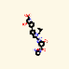 COc1cc(C(=O)N2CC3CCC2[C@@H]3N)cc2nc(-c3cc4ccc(-c5ccc6nc(C(=O)O)cc(O)c6c5)cc4n3CC3CC3)n(C)c12